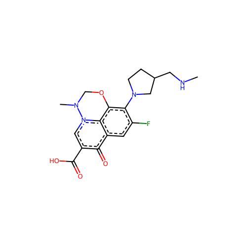 CNCC1CCN(c2c(F)cc3c(=O)c(C(=O)O)cn4c3c2OCN4C)C1